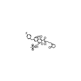 CS(=O)(=O)NCCn1c(=O)c(C(=O)NCCCN2CCCC2=O)c(O)c2ncc(Cc3ccc(F)cc3)cc21